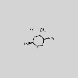 C[C@H]1CNC(=N)C[C@@H]1C.Cl